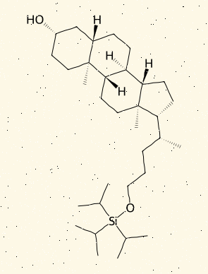 CC(C)[Si](OCCC[C@@H](C)[C@H]1CC[C@H]2[C@@H]3CC[C@H]4C[C@@H](O)CC[C@]4(C)[C@H]3CC[C@]12C)(C(C)C)C(C)C